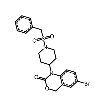 O=C1OCc2cc(Br)ccc2N1C1CCN(S(=O)(=O)Cc2ccccc2)CC1